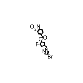 O=C(O[C@@H]1CC(Cn2cc(Br)cn2)C[C@@H]1F)c1ccc([N+](=O)[O-])cc1